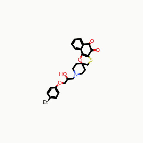 CCc1ccc(OCC(O)CN2CCC3(CC2)CSC2=C(O3)c3ccccc3C(=O)C2=O)cc1